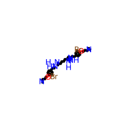 CN(C)CCCOc1ccc(CCN/C=C(\N)CCCCC2=CN(CCc3ccc(OCCCN(C)C)c(Br)c3)NN2)cc1Br